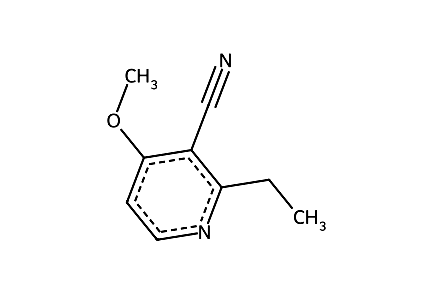 CCc1nccc(OC)c1C#N